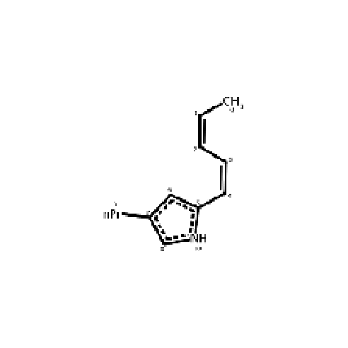 C/C=C\C=C/c1cc(CCC)c[nH]1